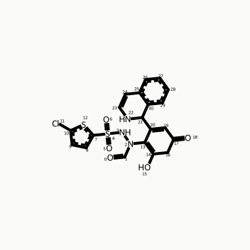 O=CN(NS(=O)(=O)c1ccc(Cl)s1)C1=C(O)CC(=O)C=C1C1NC=Cc2ccccc21